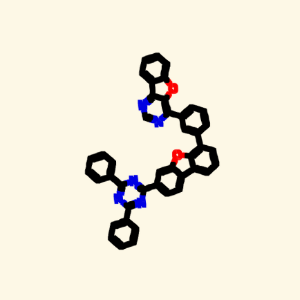 c1ccc(-c2nc(-c3ccccc3)nc(-c3ccc4c(c3)oc3c(-c5cccc(-c6ncnc7c6oc6ccccc67)c5)cccc34)n2)cc1